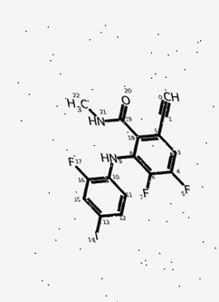 C#Cc1cc(F)c(F)c(Nc2ccc(I)cc2F)c1C(=O)NC